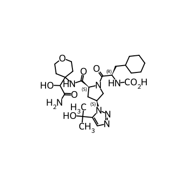 CC(C)(O)c1cnnn1[C@H]1C[C@@H](C(=O)NC2(C(O)C(N)=O)CCOCC2)N(C(=O)[C@@H](CC2CCCCC2)NC(=O)O)C1